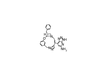 Nc1cc(/C2=C/CN3C[C@H](Cc4ccccc4)[C@@H](C3)Oc3cccc(c3)Cn3cc2cn3)c2nn[nH]c2n1